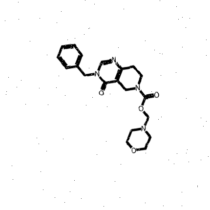 O=C(OCN1CCOCC1)N1CCc2ncn(Cc3ccccc3)c(=O)c2C1